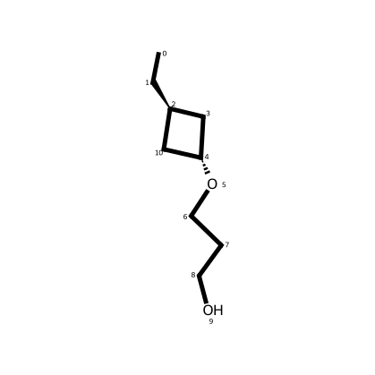 CC[C@H]1C[C@H](OCCCO)C1